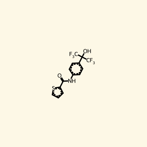 O=C(Nc1ccc(C(O)(C(F)(F)F)C(F)(F)F)cc1)c1cccs1